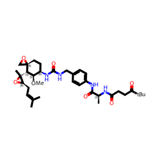 CO[C@H]1[C@H](C2(C)O[C@@H]2CC=C(C)C)[C@]2(CC[C@H]1NC(=O)NCc1ccc(NC(=O)[C@H](C)NC(=O)CCC(=O)C(C)(C)C)cc1)CO2